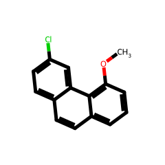 COc1cccc2ccc3ccc(Cl)cc3c12